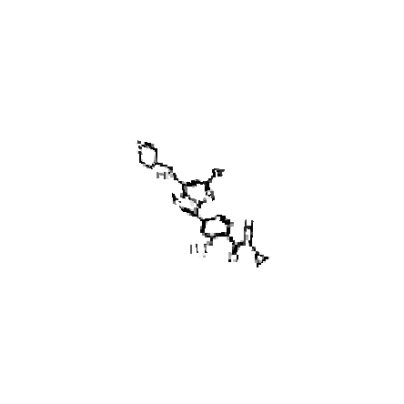 Cc1cc(-c2cnc3c(NCC4CCSCC4)cc(Br)nn23)ccc1C(=O)NC1CC1